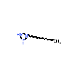 CCCCCCCCCCCCCCCCN1CCNCCNCC1